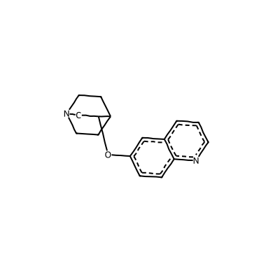 c1cnc2ccc(OC3CN4CCC3CC4)cc2c1